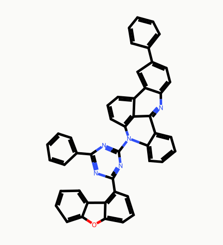 c1ccc(-c2ccc3nc4c5c(cccc5c3c2)N(c2nc(-c3ccccc3)nc(-c3cccc5oc6ccccc6c35)n2)c2ccccc2-4)cc1